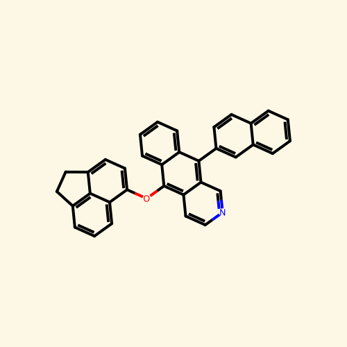 c1ccc2cc(-c3c4ccccc4c(Oc4ccc5c6c(cccc46)CC5)c4ccncc34)ccc2c1